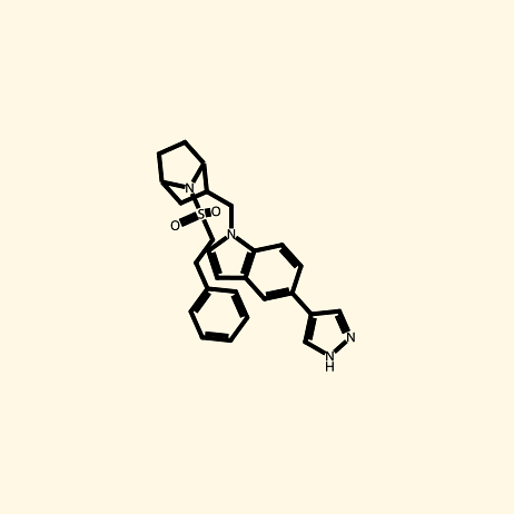 O=S(=O)(CCc1ccccc1)N1C2CCC1C(Cn1ccc3cc(-c4cn[nH]c4)ccc31)C2